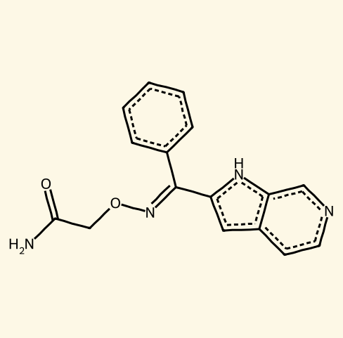 NC(=O)CON=C(c1ccccc1)c1cc2ccncc2[nH]1